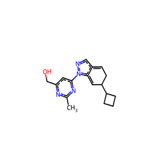 Cc1nc(CO)cc(-n2ncc3c2=CC(C2CCC2)CC=3)n1